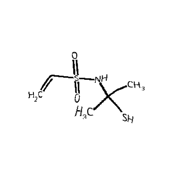 C=CS(=O)(=O)NC(C)(C)S